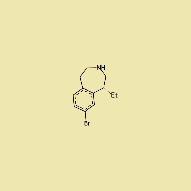 CC[C@H]1CNCCc2ccc(Br)cc21